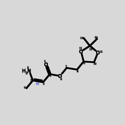 C/C(N)=C/C(=O)OCCC1COC(C)(C)O1